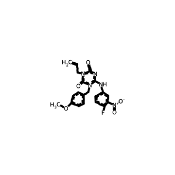 C=CCn1c(=O)nc(Nc2ccc(F)c([N+](=O)[O-])c2)n(Cc2ccc(OC)cc2)c1=O